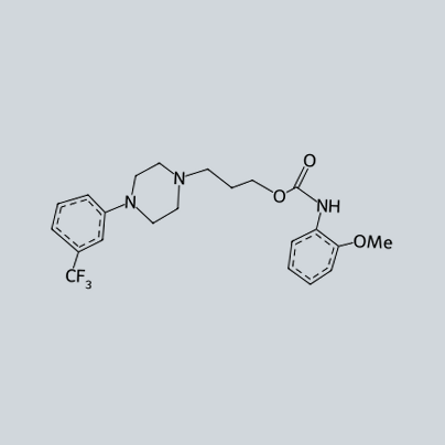 COc1ccccc1NC(=O)OCCCN1CCN(c2cccc(C(F)(F)F)c2)CC1